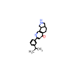 CC(C)c1cccc(-c2cc(=O)c3c(cn2)C2CNCC2CC3)c1